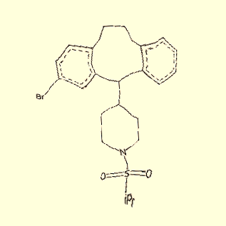 CC(C)S(=O)(=O)N1CCC(C2c3ccccc3CCc3ccc(Br)cc32)CC1